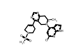 C[C@@H]1Cc2ncnc(C3=CCN(S(C)(=O)=O)CC3)c2CN1c1cc(Cl)nc2[nH]ccc12